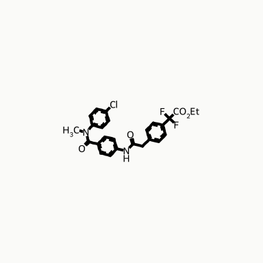 CCOC(=O)C(F)(F)c1ccc(CC(=O)Nc2ccc(C(=O)N(C)c3ccc(Cl)cc3)cc2)cc1